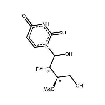 CO[C@H](CO)[C@H](F)C(O)n1ccc(=O)[nH]c1=O